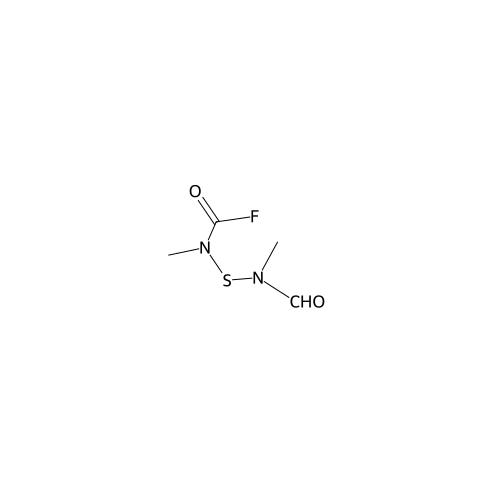 CN(C=O)SN(C)C(=O)F